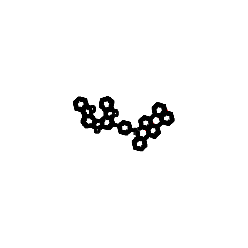 c1ccc(-c2ccc(-c3ccccc3N(c3ccc(-c4ccccc4)cc3)c3ccc(-c4cc5oc6ccc7c8ccccc8oc7c6c5c5c4oc4ccccc45)cc3)cc2)cc1